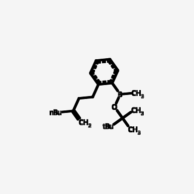 C=C(CCCC)CCc1ccccc1B(C)OC(C)(C)C(C)(C)C